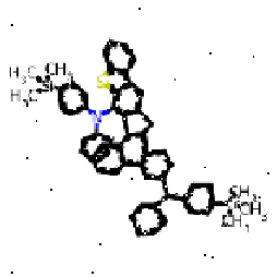 C[Si](C)(C)c1ccc(C(c2ccccc2)c2ccc3c4c(c5ccccc5c3c2)-c2c(cc3c(sc5ccccc53)c2N(c2ccccc2)c2ccc([Si](C)(C)C)cc2)C4)cc1